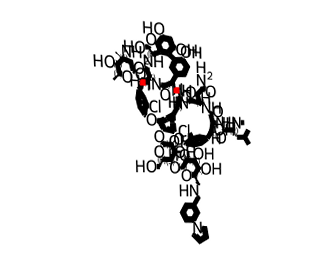 CN[C@H](CC(C)C)C(=O)NC1C(=O)N[C@@H](CC(N)=O)C(=O)N[C@H]2C(=O)N[C@H]3C(=O)N[C@H](C(=O)N[C@@H](C(=O)O)c4cc(O)cc(O)c4-c4cc3ccc4O)[C@H](OC3C[C@](C)(N)[C@@H](O)[C@H](C)O3)c3ccc(c(Cl)c3)Oc3cc2cc(c3O[C@@H]2O[C@H](CO)[C@@H](O[C@@H]3O[C@H](CNCc4cccc(-n5cccc5)c4)[C@H](O)[C@H](O)[C@H]3O)[C@H](O)[C@H]2O)Oc2ccc(cc2Cl)[C@H]1O